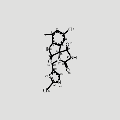 Cc1cc(Cl)cc2c1NC(=O)[C@@]21C(=O)NC(=O)N1Cc1cnc(Cl)s1